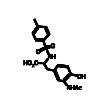 CC(=O)Nc1cc(C[C@H](NS(=O)(=O)c2ccc(C)cc2)C(=O)O)ccc1O